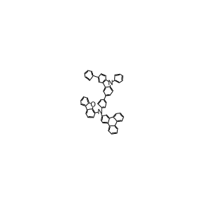 c1ccc(-c2ccc3c(c2)c2cc(-c4ccc(N(c5ccc6c7ccccc7c7ccccc7c6c5)c5cccc6c5oc5ccccc56)cc4)ccc2n3-c2ccccc2)cc1